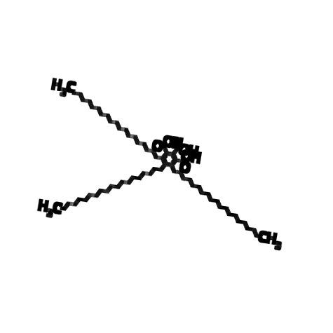 CCCCCCCCCCCCCCCCCCCCc1c(CCCCCCCCCCCCCCCCCCCC)c(C(=O)O)c(C(=O)O)c(C(=O)O)c1CCCCCCCCCCCCCCCCCCCC